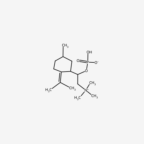 CC(C)=C1CCC(C)CC1C(C[N+](C)(C)C)OP(=O)([O-])O